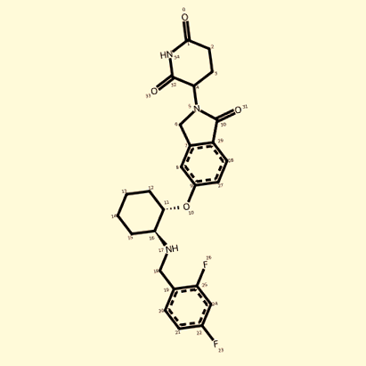 O=C1CCC(N2Cc3cc(O[C@H]4CCCC[C@@H]4NCc4ccc(F)cc4F)ccc3C2=O)C(=O)N1